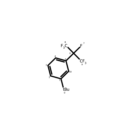 CC(C)(C)c1cccc(C(F)(C(F)(F)F)C(F)(F)F)c1